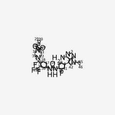 Nc1ncnc2c1c(-c1ccc(NC(=O)Nc3ccc(CN4CCN(S(=O)(=O)C5CC5)CC4)c(C(F)(F)F)c3)c(F)c1)cn2C1CC1